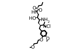 CCCS(=O)(=O)NC[C@H](O)[C@@H](N)C[C@H](Cc1ccc(OC)c(OCCCOC)c1)C(C)C.Cl